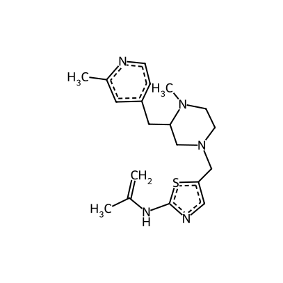 C=C(C)Nc1ncc(CN2CCN(C)C(Cc3ccnc(C)c3)C2)s1